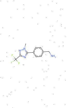 Cn1nc(C(F)(F)F)nc1-c1ccc(CN)cc1